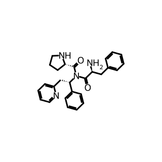 N[C@@H](Cc1ccccc1)C(=O)N(C(=O)[C@@H]1CCCN1)[C@@H](Cc1ccccn1)c1ccccc1